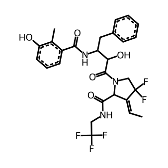 C/C=C1/C(C(=O)NCC(F)(F)F)N(C(=O)C(O)C(Cc2ccccc2)NC(=O)c2cccc(O)c2C)CC1(F)F